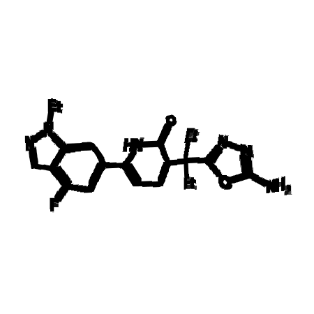 CCn1ncc2c(F)cc(-c3ccc(C(CC)(CC)c4nnc(N)o4)c(=O)[nH]3)cc21